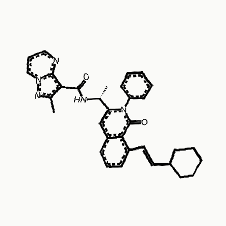 Cc1nn2cccnc2c1C(=O)N[C@H](C)c1cc2cccc(/C=C/C3CCCCC3)c2c(=O)n1-c1ccccc1